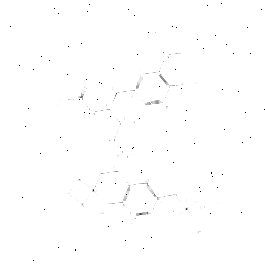 CC(=O)N[C@@H](Cc1ccc(F)c(N(C)C)c1)[C@H](O)CN[C@H]1CC2(CCC2)Oc2ncc(CC(C)(C)C)cc21